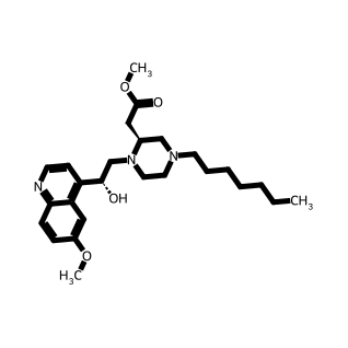 CCCCCCCN1CCN(C[C@H](O)c2ccnc3ccc(OC)cc23)[C@@H](CC(=O)OC)C1